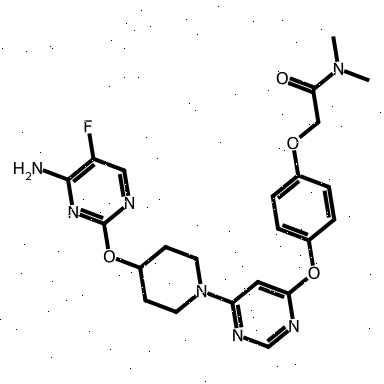 CN(C)C(=O)COc1ccc(Oc2cc(N3CCC(Oc4ncc(F)c(N)n4)CC3)ncn2)cc1